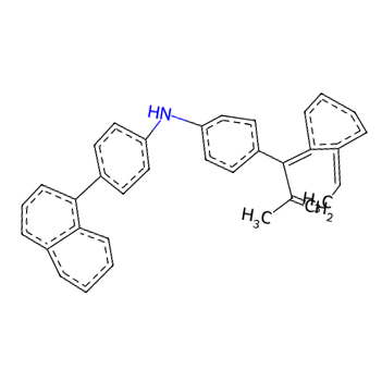 C=C(C)/C(c1ccc(Nc2ccc(-c3cccc4ccccc34)cc2)cc1)=c1/cccc/c1=C/C